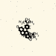 CC(=O)O[C@]1(C(C)=O)CC[C@@H]2[C@]1(C)C[C@H](c1ccc(N(C)C(C)C)cc1)C1=C3CCC(=O)C=C3CC[C@]12C